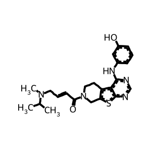 CC(C)N(C)CC=CC(=O)N1CCc2c(sc3ncnc(Nc4cccc(O)c4)c23)C1